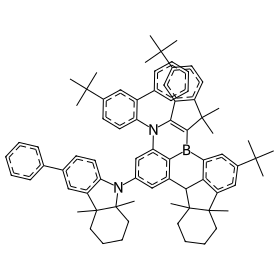 CC(C)(C)c1ccc2c(c1)C1=C(B3c4cc(C(C)(C)C)cc5c4C(c4cc(N6c7ccc(-c8ccccc8)cc7C7(C)CCCCC67C)cc(c43)N1c1ccc(C(C)(C)C)cc1-c1ccccc1)C1(C)CCCCC51C)C2(C)C